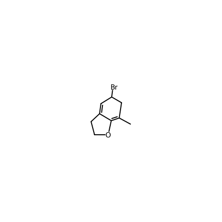 CC1=C2OCCC2=CC(Br)C1